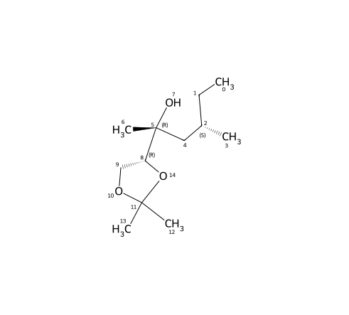 CC[C@H](C)C[C@@](C)(O)[C@H]1COC(C)(C)O1